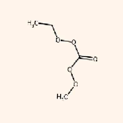 CCOOC(=O)OOC